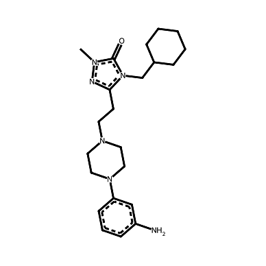 Cn1nc(CCN2CCN(c3cccc(N)c3)CC2)n(CC2CCCCC2)c1=O